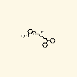 Cl.FC(F)(F)Oc1cccc(CNCCCCC=C(c2ccccc2)c2ccccc2)c1